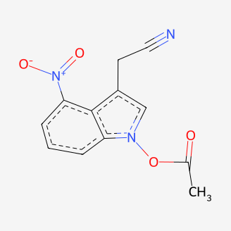 CC(=O)On1cc(CC#N)c2c([N+](=O)[O-])cccc21